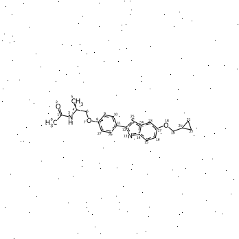 CC(=O)N[C@@H](C)COc1ccc(-c2nc3ccc(OCC4CC4)cc3s2)cc1